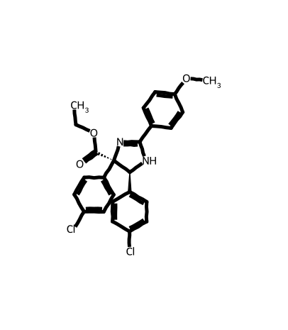 CCOC(=O)[C@]1(c2ccc(Cl)cc2)N=C(c2ccc(OC)cc2)N[C@H]1c1ccc(Cl)cc1